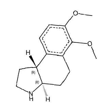 COc1ccc2c(c1OC)CC[C@H]1NCC[C@H]21